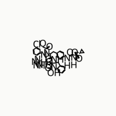 O=CC(=O)N(Nc1cc(Cl)ccc1-n1cnnn1)C(Cc1ccc(NC(=O)NS(=O)(=O)C2CC2)cc1)C(=O)NC1(C(=O)O)Cc2ccccc2N1C(=O)O